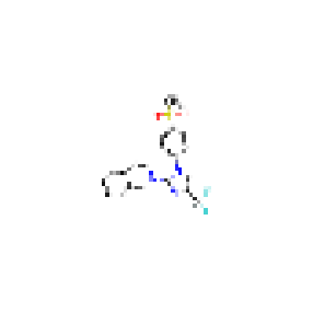 CS(=O)(=O)c1ccc(-n2cc(C(F)(F)F)nc2N2C=Cc3ccccc3C2)cc1